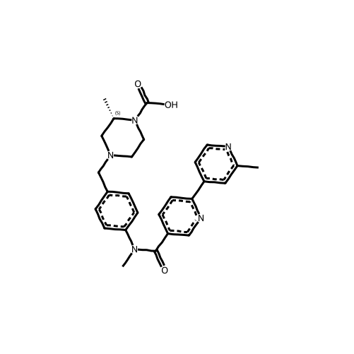 Cc1cc(-c2ccc(C(=O)N(C)c3ccc(CN4CCN(C(=O)O)[C@@H](C)C4)cc3)cn2)ccn1